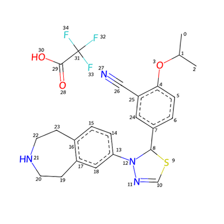 CC(C)Oc1ccc(C2SC=NN2c2ccc3c(c2)CCNCC3)cc1C#N.O=C(O)C(F)(F)F